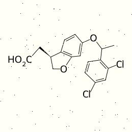 CC(Oc1ccc2c(c1)OC[C@H]2CC(=O)O)c1ccc(Cl)cc1Cl